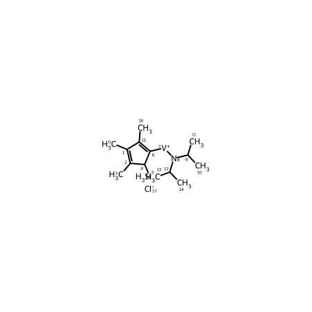 CC1=C(C)C([SiH3])[C]([V+][N](C(C)C)C(C)C)=C1C.[Cl-]